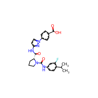 CC(C)c1ccc(NC(=O)N2CCC[C@@H]2C(=O)Nc2ccn(-c3ccc(C(=O)O)cc3)n2)cc1F